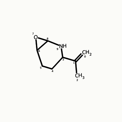 C=C(C)C1CCC2OC2N1